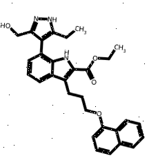 CCOC(=O)c1[nH]c2c(-c3c(CO)n[nH]c3CC)cccc2c1CCCOc1cccc2ccccc12